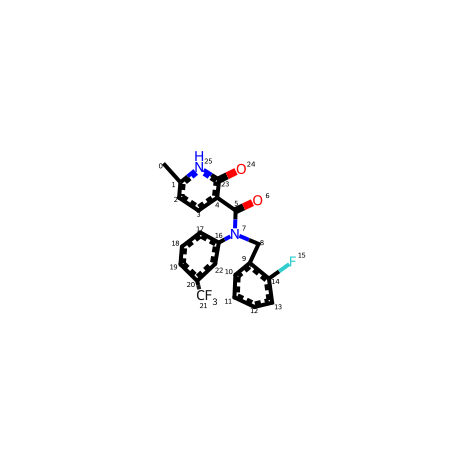 Cc1ccc(C(=O)N(Cc2ccccc2F)c2cccc(C(F)(F)F)c2)c(=O)[nH]1